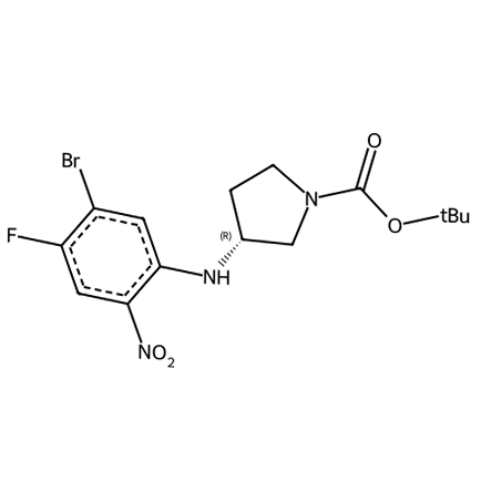 CC(C)(C)OC(=O)N1CC[C@@H](Nc2cc(Br)c(F)cc2[N+](=O)[O-])C1